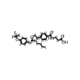 CCCCN1/C(=N/c2ccc(OC(F)(F)F)cc2)OCC1c1ccc(C(=O)NCCC(=O)O)cc1